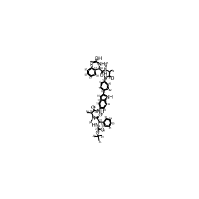 CC(C(=O)Nc1ccc(-c2cc3cc(NC(=O)C(C)N(C)C(=O)C(NC(=O)OC(C)(C)C)c4ccccc4)ccc3[nH]2)cc1)N(C)C(=O)C(NC(=O)O)c1ccccc1